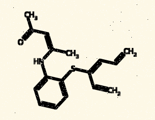 C=C/C=C(\C=C)Sc1ccccc1N/C(C)=C\C(C)=O